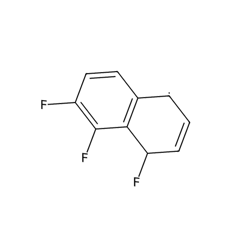 Fc1ccc2c(c1F)C(F)C=C[CH]2